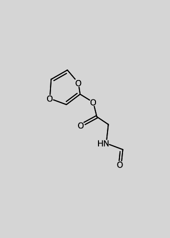 O=CNCC(=O)OC1=COC=CO1